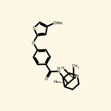 COc1csc(Oc2ccc(C(=O)N[C@@H]3C4CCN(CC4)[C@H]3C)cc2)c1